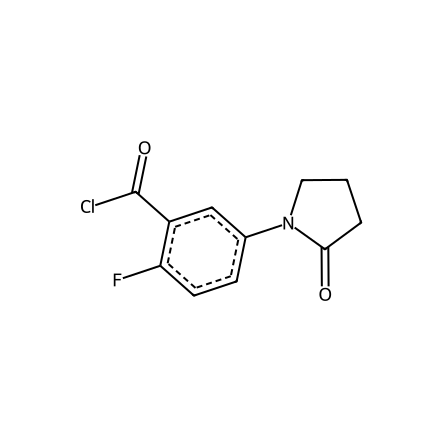 O=C(Cl)c1cc(N2CCCC2=O)ccc1F